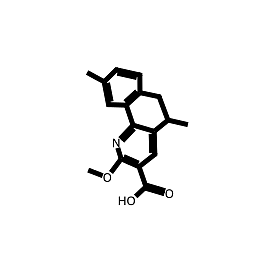 COc1nc2c(cc1C(=O)O)C(C)Cc1ccc(C)cc1-2